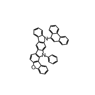 c1ccc(-n2c3cc4c(cc3c3ccc5oc6ccccc6c5c32)c2ccccc2n4-c2cc3ccccc3c3ccccc23)cc1